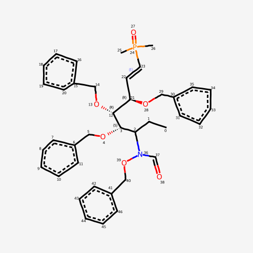 CCC([C@H](OCc1ccccc1)[C@H](OCc1ccccc1)[C@@H](/C=C/P(C)(C)=O)OCc1ccccc1)N(C=O)OCc1ccccc1